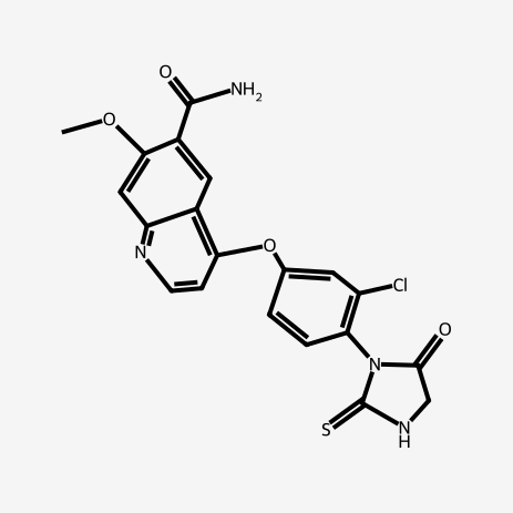 COc1cc2nccc(Oc3ccc(N4C(=O)CNC4=S)c(Cl)c3)c2cc1C(N)=O